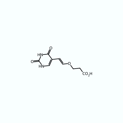 O=C(O)CCOC=Cc1c[nH]c(=O)[nH]c1=O